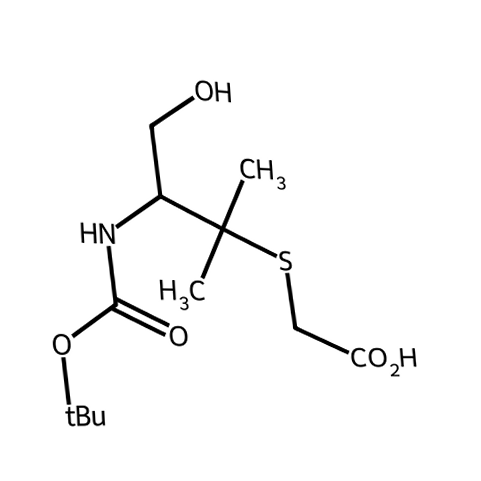 CC(C)(C)OC(=O)NC(CO)C(C)(C)SCC(=O)O